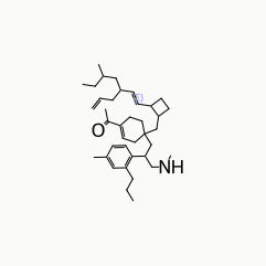 C=CCC(/C=C/C1CCC1CC1(CC(CNC)c2ccc(C)cc2CCC)CC=C(C(C)=O)CC1)CC(C)CC